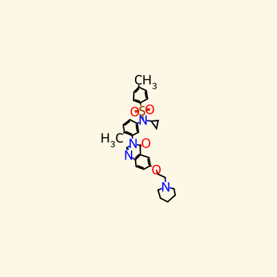 Cc1ccc(S(=O)(=O)N(c2ccc(C)c(-n3cnc4ccc(OCCN5CCCCC5)cc4c3=O)c2)C2CC2)cc1